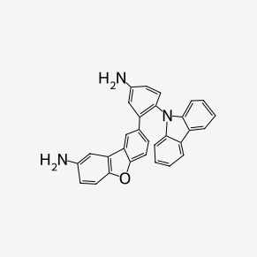 Nc1ccc(-n2c3ccccc3c3ccccc32)c(-c2ccc3oc4ccc(N)cc4c3c2)c1